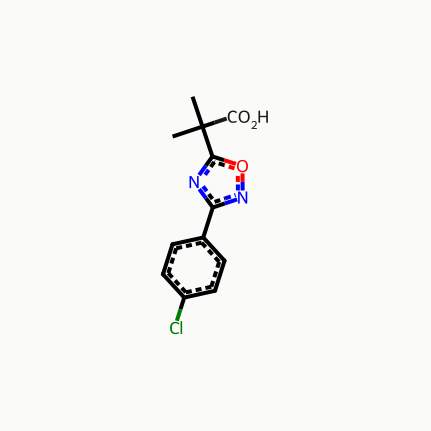 CC(C)(C(=O)O)c1nc(-c2ccc(Cl)cc2)no1